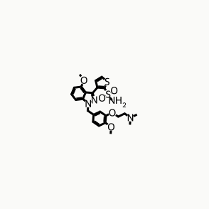 COc1ccc(Cn2nc(-c3ccsc3S(N)(=O)=O)c3c(OC)cccc32)cc1OCCN(C)C